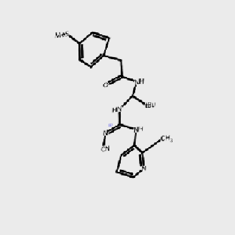 CSc1ccc(CC(=O)NC(N/C(=N/C#N)Nc2cccnc2C)C(C)(C)C)cc1